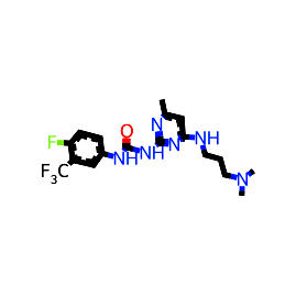 Cc1cc(NCCCN(C)C)nc(NC(=O)Nc2ccc(F)c(C(F)(F)F)c2)n1